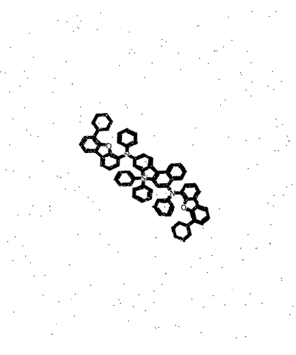 c1ccc(N(c2ccc3c(c2)[Si](c2ccccc2)(c2ccccc2)c2cc(N(c4ccccc4)c4cccc5c4oc4c(C6CCCCC6)cccc45)c4ccccc4c2-3)c2cccc3c2oc2c(C4CCCCC4)cccc23)cc1